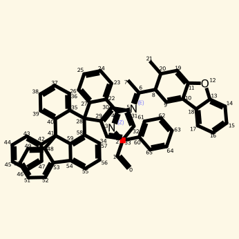 C=CC(/N=C(\N=C(/C)C1C=c2c(oc3ccccc23)=CC1C)c1ccccc1C1(c2ccccc2)c2ccccc2C2(c3ccccc3)c3ccccc3-c3cccc1c32)c1ccccc1